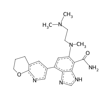 CN(C)CCN(C)c1cc(-c2cnc3c(c2)CCCO3)c2nc[nH]c2c1C(N)=O